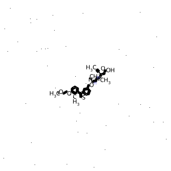 C=N/C(=C\C=C(/C)[C@@H](C#CC)CC(=O)O)OCc1ccc2scc(-c3cccc(OCCOC)c3C)c2c1